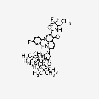 CCC(NC(=O)c1cn(-c2ccc(F)cc2F)c2nc(N3C[C@@H](O[Si](C)(C)C(C)(C)C)[C@H](O[Si](C)(C)C(C)(C)C)C3)ccc2c1=O)C(F)(F)F